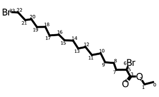 CCOC(=O)C(Br)CCCCCCCCCCCCCCCCBr